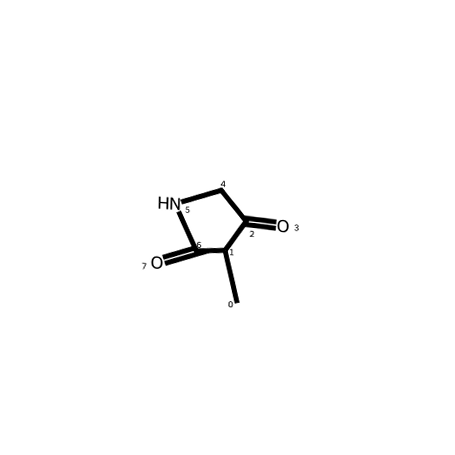 CC1C(=O)CNC1=O